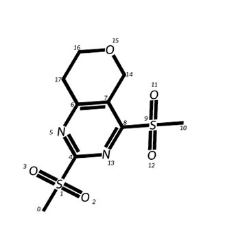 CS(=O)(=O)c1nc2c(c(S(C)(=O)=O)n1)COCC2